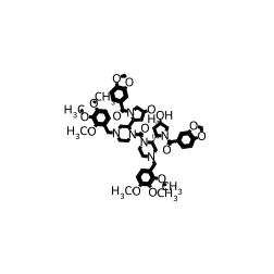 COc1ccc(CN2CCN(C(=O)N3CCN(Cc4ccc(OC)c(OC)c4OC)CC3[C@@H]3C[C@@H](O)CN3C(=O)c3ccc4c(c3)OCO4)C(C3CC(O)CN3C(=O)c3ccc4c(c3)OCO4)C2)c(OC)c1OC